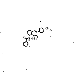 Cc1ccc(/C=C/c2cccc(NC(=O)c3ccccc3)c2C2=CCCN2)cc1